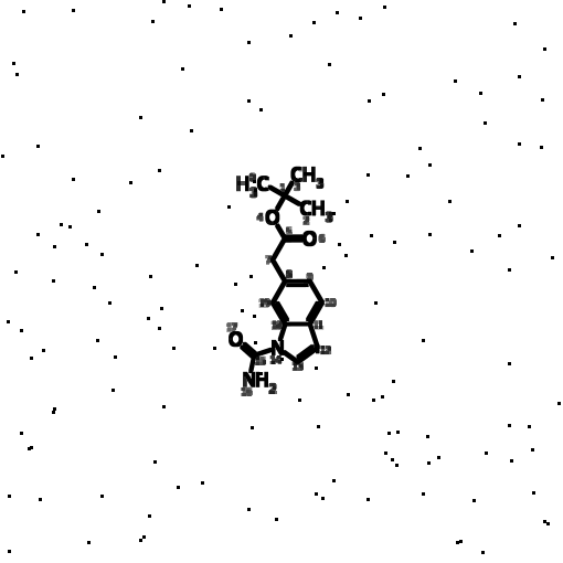 CC(C)(C)OC(=O)Cc1ccc2[c]cn(C(N)=O)c2c1